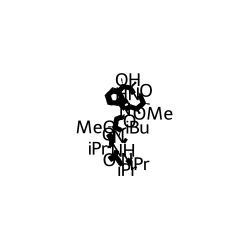 CC[C@H](C)[C@@H]([C@@H](CC(=O)N1CC[C@H]1[C@H](OC)[C@@H](C)C(=O)N[C@H](C)[C@@H](O)c1ccccc1)OC)N(C)C(=O)[C@@H](NC(=O)[C@H](C(C)C)N(C)C(C)C)C(C)C